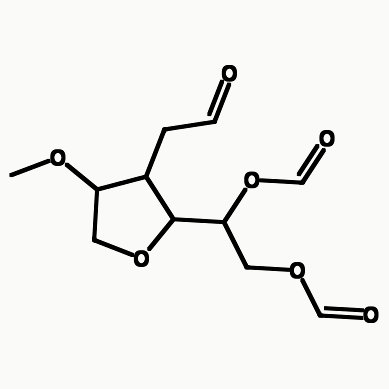 COC1COC(C(COC=O)OC=O)C1CC=O